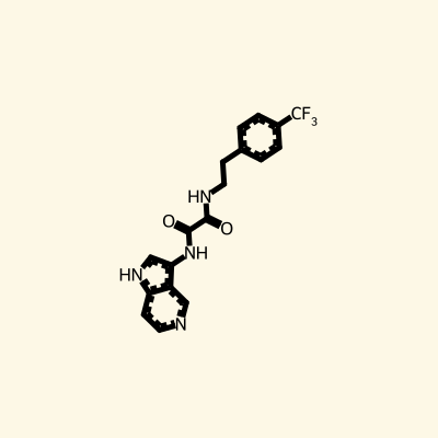 O=C(NCCc1ccc(C(F)(F)F)cc1)C(=O)Nc1c[nH]c2ccncc12